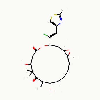 CCC1C(=O)C(C)(C)C(O)CC(=O)O[C@H](C(Cl)=Cc2csc(C)n2)C[C@H]2O[C@@]2(C)CCC[C@H](C)[C@@H]1O